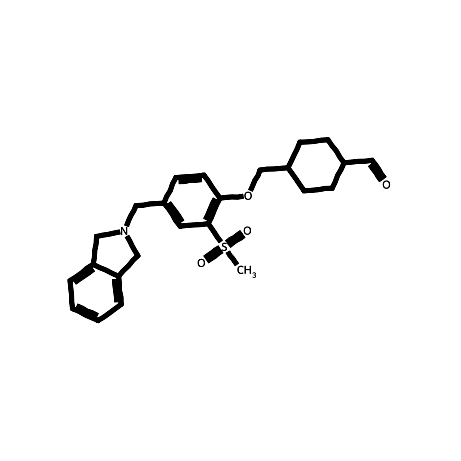 CS(=O)(=O)c1cc(CN2Cc3ccccc3C2)ccc1OCC1CCC(C=O)CC1